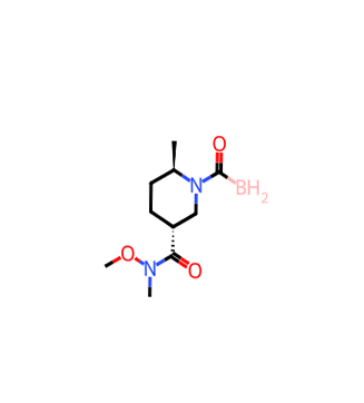 BC(=O)N1C[C@H](C(=O)N(C)OC)CC[C@H]1C